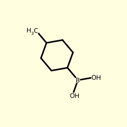 CC1CCC(B(O)O)CC1